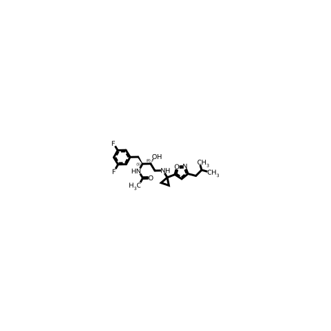 CC(=O)N[C@@H](Cc1cc(F)cc(F)c1)[C@H](O)CNC1(c2cc(CC(C)C)no2)CC1